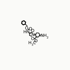 COC(=O)[C@@H]1C[C@H](N)CC[C@@H]1N1CC[C@H](NC(=O)OCc2ccccc2)C1=O